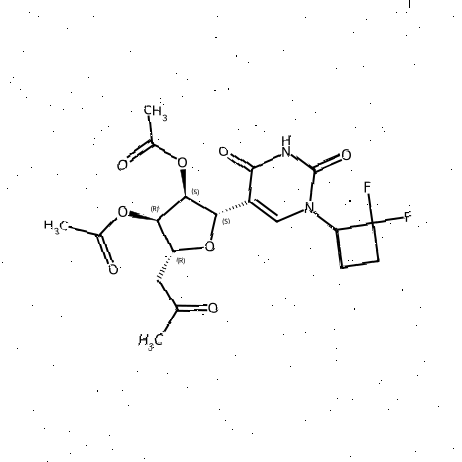 CC(=O)C[C@H]1O[C@@H](c2cn(C3CCC3(F)F)c(=O)[nH]c2=O)[C@H](OC(C)=O)[C@@H]1OC(C)=O